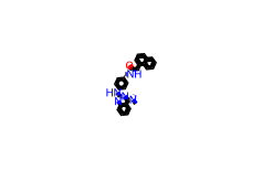 CN(C)C1=NC(N[C@H]2CC[C@@H](CNC(=O)Cc3cccc4ccccc34)CC2)=NC2C=CC=CC12